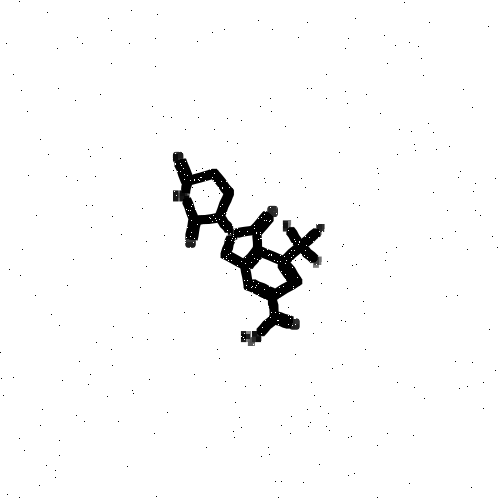 NC(=O)c1cc2c(c(C(F)(F)F)c1)C(=O)N(C1CCC(=O)NC1=O)C2